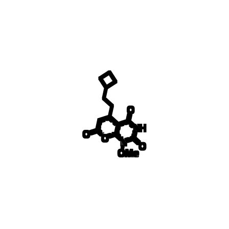 COn1c(=O)[nH]c(=O)c2c(CCC3CCC3)cc(=O)oc21